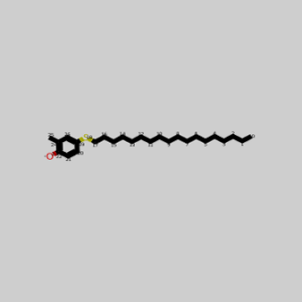 CCCCCCCCCCCCCCCCCCSc1ccc([O])c(C)c1